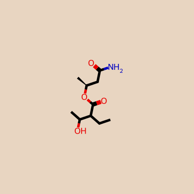 CCC(C(=O)O[C@@H](C)CC(N)=O)C(C)O